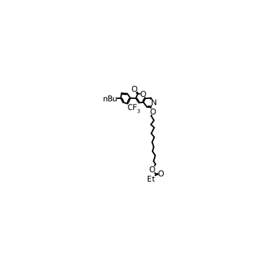 CCCCc1ccc(-c2cc3cc(OCCCCCCCCCCCCOC(=O)CC)ncc3oc2=O)c(C(F)(F)F)c1